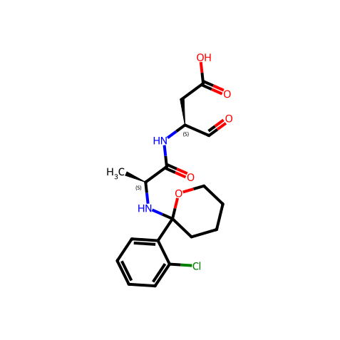 C[C@H](NC1(c2ccccc2Cl)CCCCO1)C(=O)N[C@H](C=O)CC(=O)O